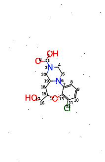 O=C(O)N1CCN2c3cccc(Cl)c3OC(CO)CC2C1